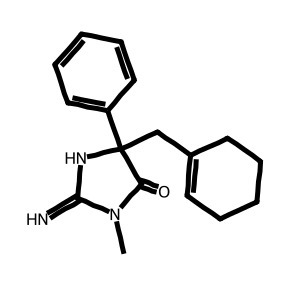 CN1C(=N)NC(CC2=CCCCC2)(c2ccccc2)C1=O